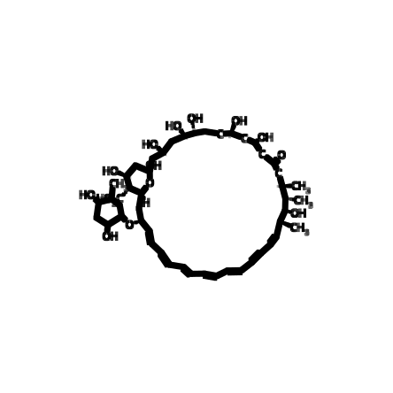 CC1CC(O[C@H]2/C=C/C=C/C=C/C=C/C=C/C=C/C=C/[C@H](C)[C@@H](O)[C@@H](C)[C@H](C)CC(=O)C[C@H](O)C[C@H](O)CC[C@@H](O)[C@H](O)C[C@H](O)C[C@]3(O)C[C@H](O)[C@@H](C(=O)O)[C@H](C2)O3)C(O)CC1O